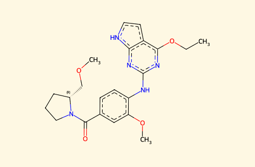 CCOc1nc(Nc2ccc(C(=O)N3CCC[C@@H]3COC)cc2OC)nc2[nH]ccc12